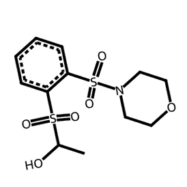 CC(O)S(=O)(=O)c1ccccc1S(=O)(=O)N1CCOCC1